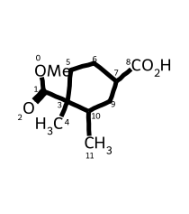 COC(=O)C1(C)CCC(C(=O)O)CC1C